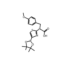 COc1ccc(CN(C(=O)O)c2nc(B3OC(C)(C)C(C)(C)O3)cs2)cc1